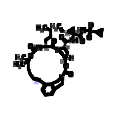 C=C[C@@H]1C[C@]1(NC(=O)[C@@H]1C[C@@H]2CN1C(=O)[C@H](CCCC)NC(=O)OC(C)(C)CC/C=C/c1cccc3c1CN(C3)C(=O)O2)C(=O)NS(=O)(=O)C1CC1